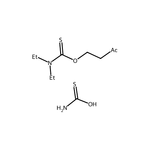 CCN(CC)C(=S)OCCC(C)=O.NC(O)=S